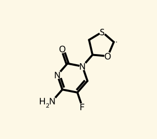 Nc1nc(=O)n(C2CS[CH]O2)cc1F